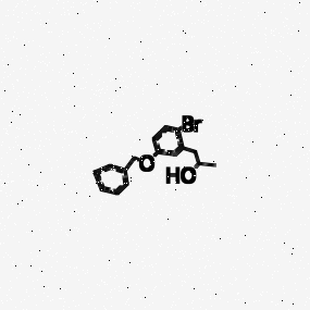 CC(O)Cc1cc(OCc2ccccc2)ccc1Br